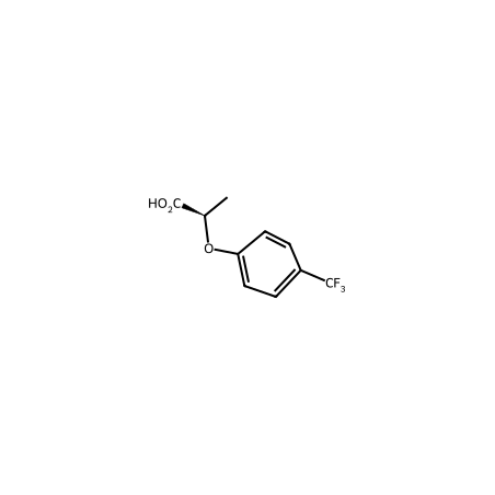 C[C@@H](Oc1ccc(C(F)(F)F)cc1)C(=O)O